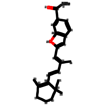 CNC(=O)c1ccc2cc(/C=C(\C)C=CC3=C(C)CCCC3(C)C)oc2c1